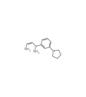 N/C=C\N(N)c1cccc(N2CCCC2)c1